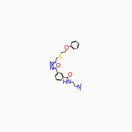 CN(C)CCNC(=O)c1cccc(-c2nnc(CSCCOc3ccccc3)o2)c1